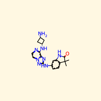 CC1(C)C(=O)Nc2cc(Nc3nc4c(N[C@H]5C[C@H](N)C5)nccn4n3)ccc21